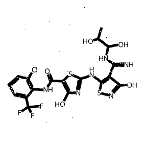 CC(O)C(O)NC(=N)c1c(O)nsc1Nc1nc(O)c(C(=O)Nc2c(Cl)cccc2C(F)(F)F)s1